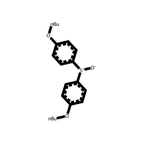 CCCCOc1ccc([S+]([O-])c2ccc(OCCCC)cc2)cc1